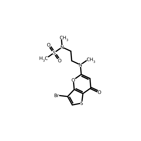 CN(CCN(C)S(C)(=O)=O)c1cc(=O)c2scc(Br)c2o1